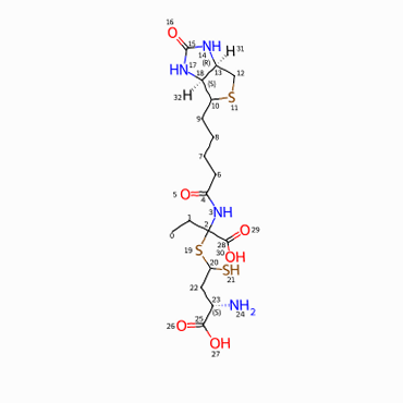 CCC(NC(=O)CCCCC1SC[C@@H]2NC(=O)N[C@H]12)(SC(S)C[C@H](N)C(=O)O)C(=O)O